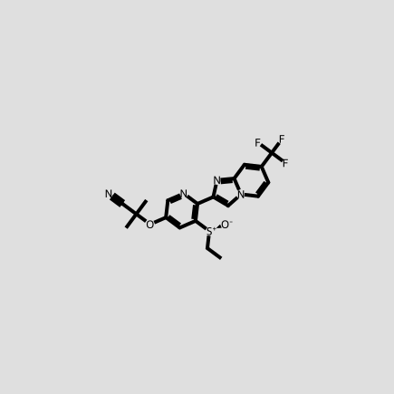 CC[S@+]([O-])c1cc(OC(C)(C)C#N)cnc1-c1cn2ccc(C(F)(F)F)cc2n1